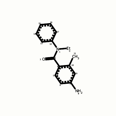 CCN(C(=O)c1ccc(N)cc1C)c1ccccc1